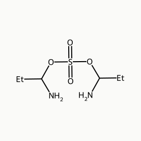 CCC(N)OS(=O)(=O)OC(N)CC